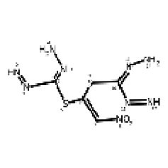 N=NC(=NN)SC(=C[N+](=O)[O-])SC(N=N)=NN